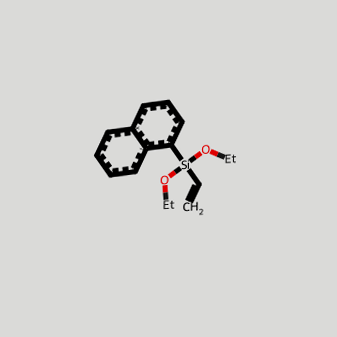 C=C[Si](OCC)(OCC)c1cccc2ccccc12